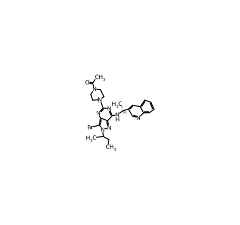 CCC(C)n1nc2c(N[C@H](C)c3cnc4ccccc4c3)nc(N3CCN(C(C)=O)CC3)nc2c1Br